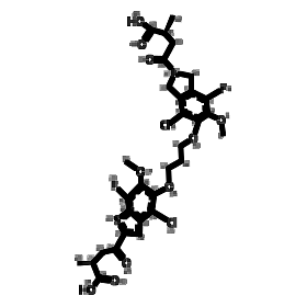 COc1c(F)c2c(c(Cl)c1OCCCOc1c(OC)c(F)c3sc(C(=O)C[C@H](C)C(=O)O)cc3c1Cl)CN(C(=O)C[C@H](C)C(=O)O)C2